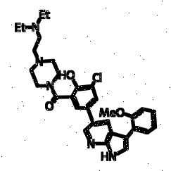 CCN(CC)CCN1CCN(C(=O)c2cc(-c3cnc4[nH]cc(-c5ccccc5OC)c4c3)cc(Cl)c2O)CC1